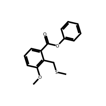 COc1cccc(C(=O)Oc2ccccc2)c1CSC